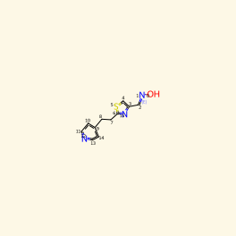 O/N=C/c1csc(CCc2ccncc2)n1